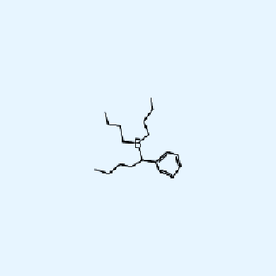 CCCCB(CCCC)C(CCCC)c1ccccc1